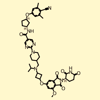 COc1cc(OC2CC(N(CC3CCN(c4ncc(C(=O)N[C@@H]5CC[C@@H](Oc6cc(C)c(C#N)c(C)c6)C5)cn4)CC3)C(C)C)C2)cc2c1C(=O)N([C@@H]1CCC(=O)NC1=O)C2=O